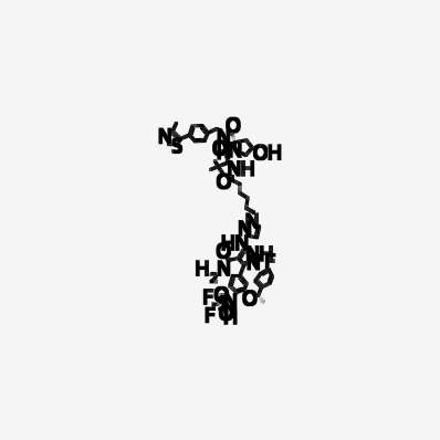 Cc1ncsc1-c1ccc(CNC(=O)[C@@H]2C[C@@H](O)CN2C(=O)[C@@H](NC(=O)CCCCCn2ccc(Nc3[nH]nc(-c4ccc(NS(=O)(=O)C(F)F)c(O[C@@H](C)c5ccc(F)cc5)c4)c3C(N)=O)n2)C(C)(C)C)cc1